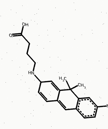 CC1(C)C2=CC(NCCCC(=O)O)C=CC2=Cc2ccc(N)cc21